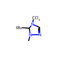 CN1N=CN(C(Cl)(Cl)Cl)C1C(C)(C)C